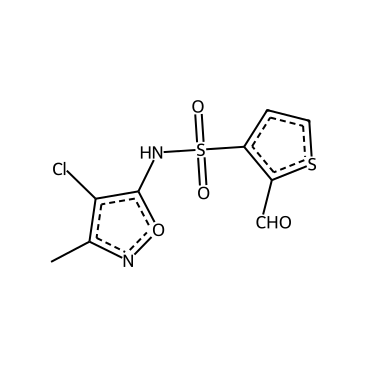 Cc1noc(NS(=O)(=O)c2ccsc2C=O)c1Cl